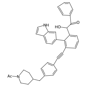 CC(=O)N1CCC(Cc2ccc(C#Cc3cccc(C(O)C(=O)c4ccccc4)c3-c3ccc4cc[nH]c4c3)cc2)CC1